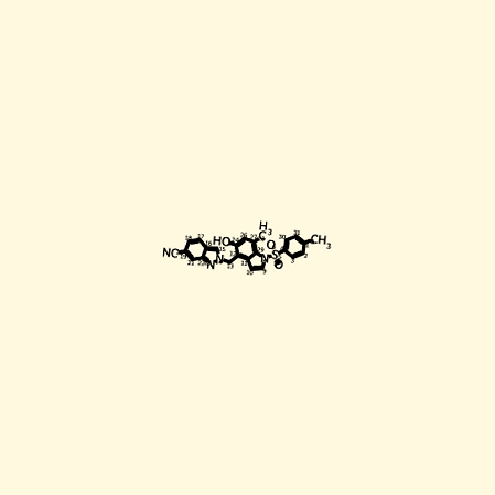 Cc1ccc(S(=O)(=O)n2ccc3c(Cn4cc5ccc(C#N)cc5n4)c(O)cc(C)c32)cc1